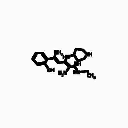 CCNC(=N)/C(N)=C(/C=C(\N)c1ccccc1O)NC1CCNCC1